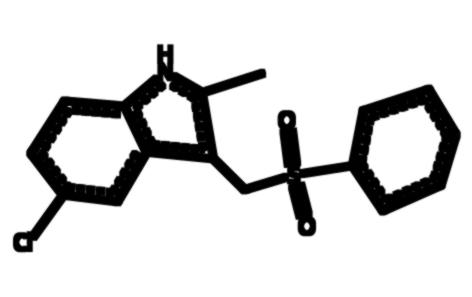 Cc1[nH]c2ccc(Cl)cc2c1CS(=O)(=O)c1ccccc1